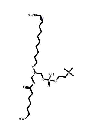 CCCCCCCC/C=C\CCCCCCCCO[C@H](COC(=O)CCCCCCCCCCCCCCC)COP(=O)(O)OCC[N+](C)(C)C